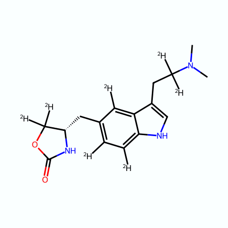 [2H]c1c(C[C@@H]2NC(=O)OC2([2H])[2H])c([2H])c2c(CC([2H])([2H])N(C)C)c[nH]c2c1[2H]